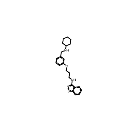 c1cc(CNC2CCCCC2)cc(OCCCNc2nsc3ccccc23)c1